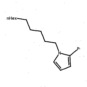 CCCCCCCCCCCn1cccc1[P]